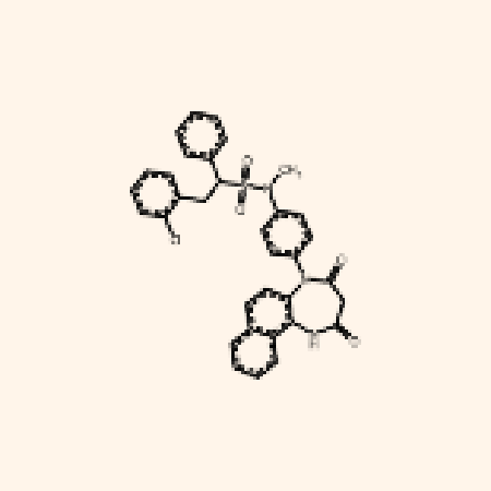 CN(c1ccc(N2C(=O)CC(=O)Nc3c2ccc2ccccc32)cc1)S(=O)(=O)C(Cc1ccccc1Cl)c1ccccc1